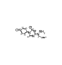 C#CCN(N)c1nc(C)n(-c2ccc(Cl)cc2)c(=O)n1